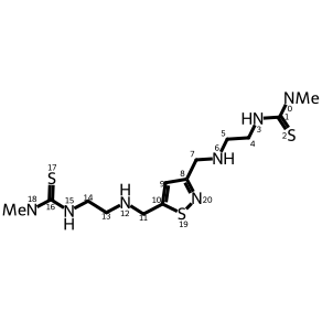 CNC(=S)NCCNCc1cc(CNCCNC(=S)NC)sn1